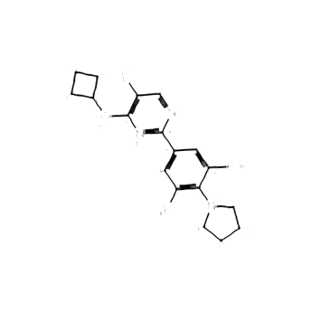 Fc1cnc(-c2cc(F)c(N3C[CH]CC3)c(F)c2)nc1OC1CCC1